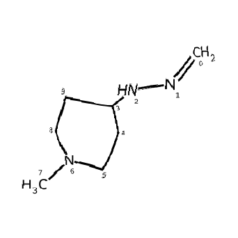 C=NNC1CCN(C)CC1